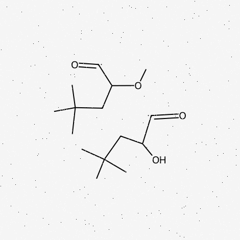 CC(C)(C)CC(O)[C]=O.COC([C]=O)CC(C)(C)C